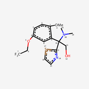 COc1ccc(OCC(F)(F)F)cc1C(CO)(c1nccs1)N(C)C